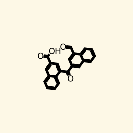 O=Cc1cc(C(=O)c2cc(C(=O)O)cc3ccccc23)cc2ccccc12